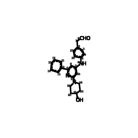 O=CCc1ccc(Nc2cc(-c3ccccc3)nc(N3CCC(O)CC3)c2)cc1